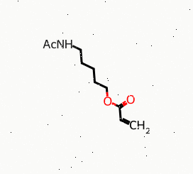 C=CC(=O)OCCCCCNC(C)=O